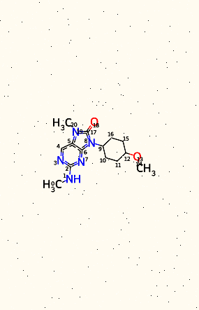 CNc1ncc2c(n1)n(C1CCC(OC)CC1)c(=O)n2C